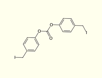 O=C(Oc1ccc(CI)cc1)Oc1ccc(CI)cc1